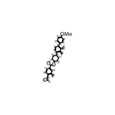 COc1ccc(-c2ccc(C3CCC(OC(=O)c4ccc(C5CO5)c(F)c4)CC3)c(F)c2F)cc1